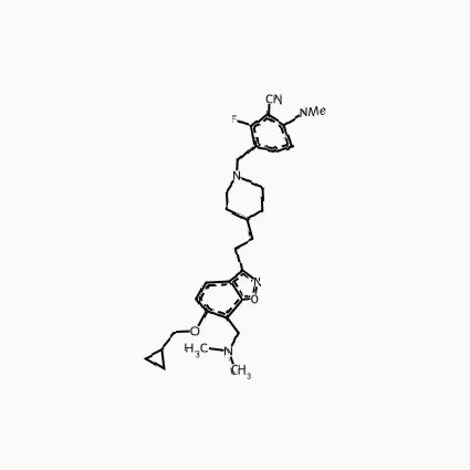 CNc1ccc(CN2CCC(CCc3noc4c(CN(C)C)c(OCC5CC5)ccc34)CC2)c(F)c1C#N